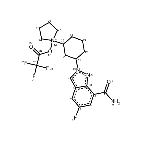 NC(=O)c1cc(F)cc2cn(C3CCCC([N+]4(OC(=O)C(F)(F)F)CCCC4)C3)nc12